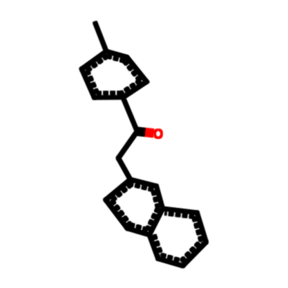 Cc1ccc(C(=O)Cc2ccc3ccccc3c2)cc1